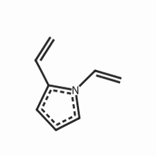 C=Cc1cccn1C=C